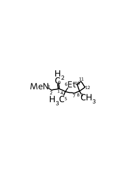 C=C(CNC)C(C)(CC)CC1(C)CCC1